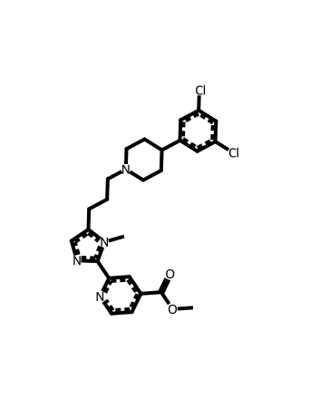 COC(=O)c1ccnc(-c2ncc(CCCN3CCC(c4cc(Cl)cc(Cl)c4)CC3)n2C)c1